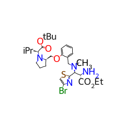 CCOC(=O)[C@@H](N)[C@@H](c1nc(Br)cs1)N(C)Cc1ccccc1OC[C@H]1CCCN1[C@H](C(=O)OC(C)(C)C)C(C)C